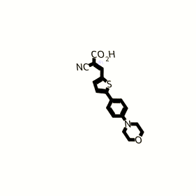 N#C/C(=C\c1ccc(-c2ccc(N3CCOCC3)cc2)s1)C(=O)O